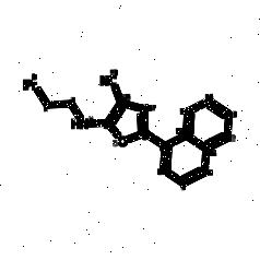 CC(C)CCNc1oc(-c2cccc3ccccc23)nc1C#N